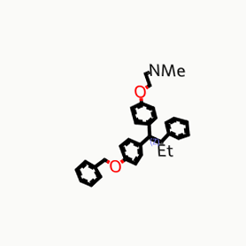 CC/C(=C(/c1ccc(OCCNC)cc1)c1ccc(OCc2ccccc2)cc1)c1ccccc1